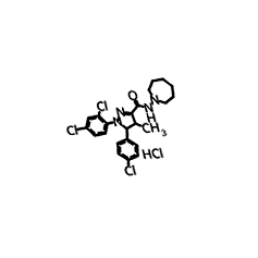 CC1C(C(=O)NN2CCCCCC2)=NN(c2ccc(Cl)cc2Cl)C1c1ccc(Cl)cc1.Cl